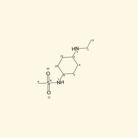 CCNC1CCC(NS(C)(=O)=O)CC1